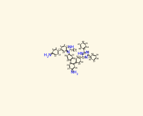 CCC1Nc2ccc(-c3ccc(N)cc3)cc2N1c1ccc(-c2ccc(N)cc2-c2ccc(C3N=C(c4ccccc4)N=C(c4ccccc4)N3)cc2)cc1